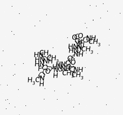 CNC1CC(C)NC(Nc2cc3c(c(C4=CCN[C@@H](C)CC4)c2F)OCC(CNC2CC(C)NC(Nc4cc5c(c(C6=CCN[C@H](C)CC6)c4Cl)OCC(CNC4CC(C)NC(Nc6cc7c(c(C8=CCN[C@@H](C)CC8)c6Cl)OCCO7)N4)O5)N2)C3)N1